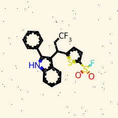 O=S(=O)(F)c1ccc(C(CC(F)(F)F)c2c(-c3ccccc3)[nH]c3ccccc23)s1